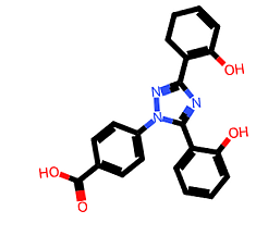 O=C(O)c1ccc(-n2nc(C3=C(O)C=CCC3)nc2-c2ccccc2O)cc1